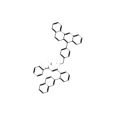 NC(/C=C(\NCc1ccc(-c2c3ccccc3cc3c2ccc2ccccc23)cc1)c1ccccc1-c1ccc2ccccc2c1)c1ccccc1